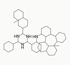 CC12CCCCC1CCC(C1NC(C3CCCCC3)NC(C3CCCCC3NC3CCCC4C5CCCCC5C5(C)CCCC6CCCC(C34)C65)N1)C2